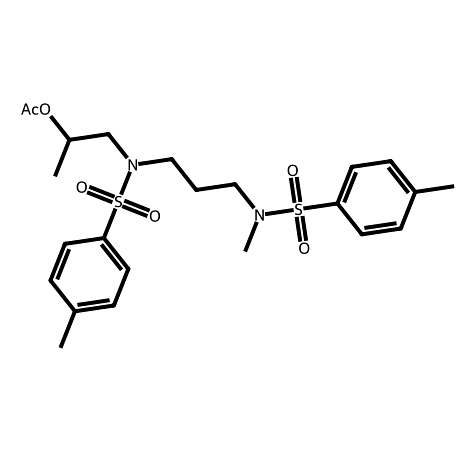 CC(=O)OC(C)CN(CCCN(C)S(=O)(=O)c1ccc(C)cc1)S(=O)(=O)c1ccc(C)cc1